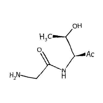 CC(=O)[C@@H](NC(=O)CN)[C@@H](C)O